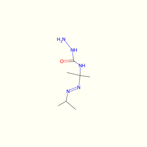 CC(C)/N=N/C(C)(C)NC(=O)NN